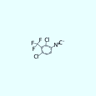 [C-]#[N+]c1ccc(Cl)c(C(F)(F)F)c1Cl